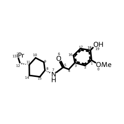 COc1cc(CC(=O)N[C@H]2CC[C@@H](CC(C)C)CC2)ccc1O